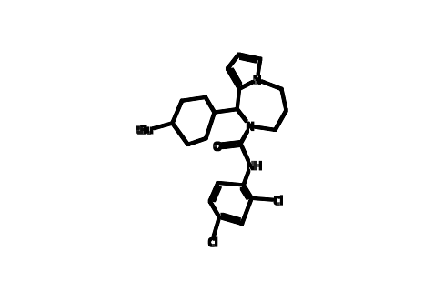 CC(C)(C)C1CCC(C2c3cccn3CCCN2C(=O)Nc2ccc(Cl)cc2Cl)CC1